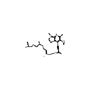 COc1c(C)nc2c(c1C#CC(C)CCC[C@H](C)CCC[C@H](C)CCCC(C)C)CCN2C